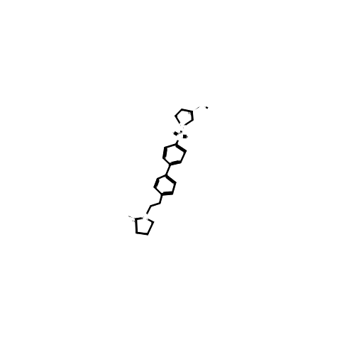 CO[C@@H]1CCN(S(=O)(=O)c2ccc(-c3ccc(CCN4CCC[C@H]4C)cc3)cc2)C1